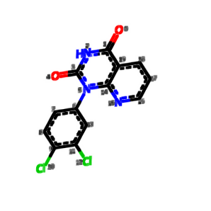 O=c1[nH]c(=O)n(-c2ccc(Cl)c(Cl)c2)c2ncccc12